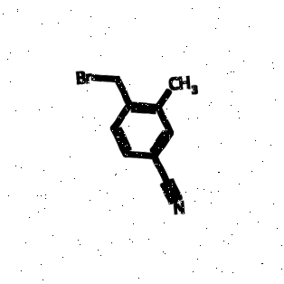 Cc1cc(C#N)ccc1CBr